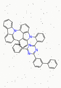 c1ccc(-c2cccc(-c3nc(-c4ccccc4)nc(-c4ccccc4-n4c5cccc6c7cccc8c9ccccc9n(c9cccc4c9c65)c78)n3)c2)cc1